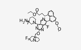 CCOC(=O)CCCc1cccc2cc(OCOC)cc(-c3ncc4c(N5CCC[C@@](C)(N)C5)nc(OC[C@@]56CCCN5C[C@H](F)C6)nc4c3F)c12